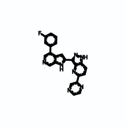 Fc1cccc(-c2cncc3[nH]c(-c4n[nH]c5ccc(-c6cnccn6)nc45)cc23)c1